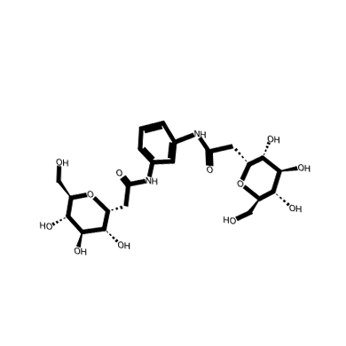 O=C(C[C@H]1O[C@H](CO)[C@@H](O)[C@H](O)[C@H]1O)Nc1cccc(NC(=O)C[C@H]2O[C@H](CO)[C@@H](O)[C@H](O)[C@H]2O)c1